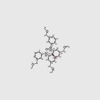 COCc1cccc([SiH](O[SiH](c2cccc(COC)c2)c2cccc(COC)c2)c2cccc(COC)c2)c1